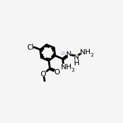 COC(=O)c1cc(Cl)ccc1/C(N)=N/NN